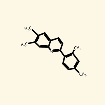 Cc1ccc(-c2ccc3cc(C)c(C)cc3n2)c(C)c1